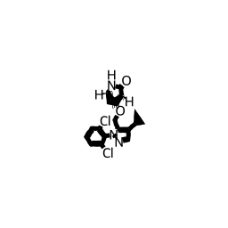 O=C1N[C@@H]2C[C@@H](OCc3c(C4CC4)cnn3-c3c(Cl)cccc3Cl)[C@H]1C2